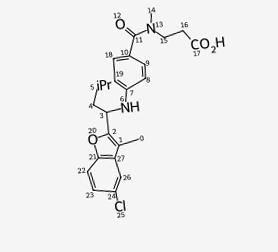 Cc1c(C(CC(C)C)Nc2ccc(C(=O)N(C)CCC(=O)O)cc2)oc2ccc(Cl)cc12